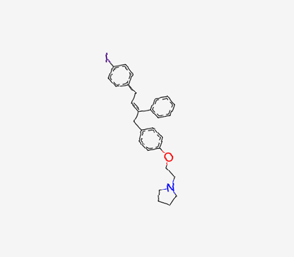 Ic1ccc(C/C=C(/Cc2ccc(OCCN3CCCC3)cc2)c2ccccc2)cc1